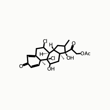 CC(=O)OCC(=O)[C@@]1(O)C(C)C[C@H]2[C@@H]3C(Cl)CC4=CC(=O)C=C[C@]4(C)[C@@]3(Cl)C(O)C[C@@]21C